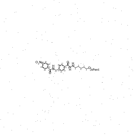 CCCCCOCCCCCNNC(=O)c1ccc(CNC(=O)c2ccc([N+](=O)[O-])cc2)cc1